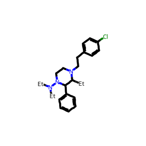 CCC1C(c2ccccc2)N(N(CC)CC)CCN1CCc1ccc(Cl)cc1